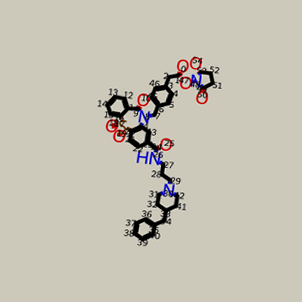 O=C(Cc1ccc(CN2C(=O)c3ccccc3S(=O)(=O)c3ccc(C(=O)NCCCN4CCC(Cc5ccccc5)CC4)cc32)cc1)ON1C(=O)CCC1=O